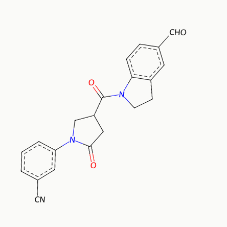 N#Cc1cccc(N2CC(C(=O)N3CCc4cc(C=O)ccc43)CC2=O)c1